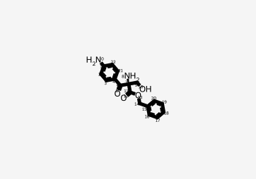 Nc1ccc(C(=O)[C@](N)(CO)C(=O)OCc2ccccc2)cc1